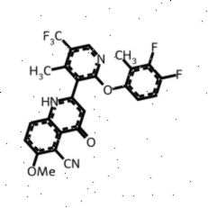 COc1ccc2[nH]c(-c3c(Oc4ccc(F)c(F)c4C)ncc(C(F)(F)F)c3C)cc(=O)c2c1C#N